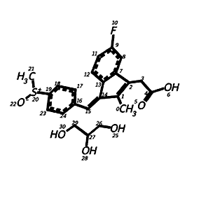 CC1=C(CC(=O)O)c2cc(F)ccc2/C1=C\c1ccc([S+](C)[O-])cc1.OCC(O)CO